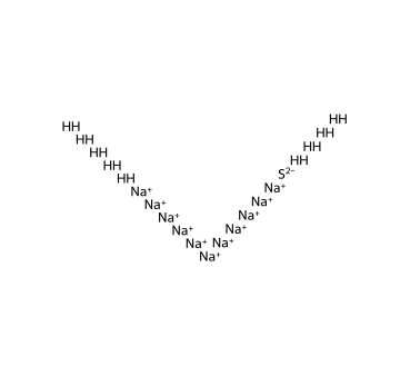 [HH].[HH].[HH].[HH].[HH].[HH].[HH].[HH].[HH].[Na+].[Na+].[Na+].[Na+].[Na+].[Na+].[Na+].[Na+].[Na+].[Na+].[Na+].[S-2]